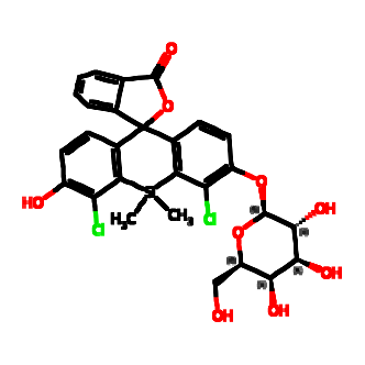 C[Si]1(C)c2c(ccc(O)c2Cl)C2(OC(=O)c3ccccc32)c2ccc(O[C@@H]3O[C@H](CO)[C@H](O)[C@H](O)[C@H]3O)c(Cl)c21